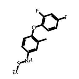 CCSNc1ccc(Oc2ccc(F)cc2F)c(C)c1